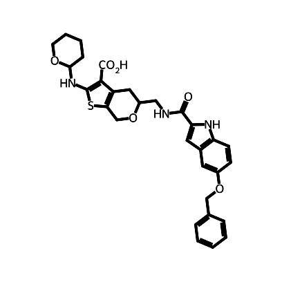 O=C(NCC1Cc2c(sc(NC3CCCCO3)c2C(=O)O)CO1)c1cc2cc(OCc3ccccc3)ccc2[nH]1